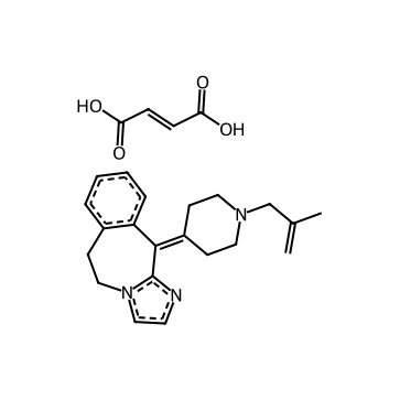 C=C(C)CN1CCC(=C2c3ccccc3CCn3ccnc32)CC1.O=C(O)/C=C/C(=O)O